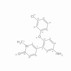 Cn1cc(-c2cc(N)ccc2Oc2cccc(Cl)c2)ccc1=O